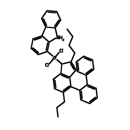 CCCCC1=Cc2c(ccc(CCC)c2-c2ccccc2-c2ccccc2)[CH]1[Zr]([Cl])([Cl])[c]1cccc2c1[SiH2]c1ccccc1-2